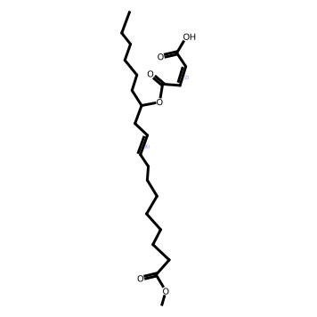 CCCCCCC(C/C=C/CCCCCCCC(=O)OC)OC(=O)/C=C\C(=O)O